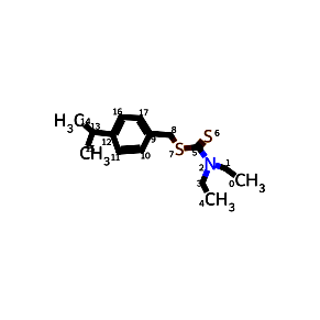 CCN(CC)C(=S)SCc1ccc(C(C)C)cc1